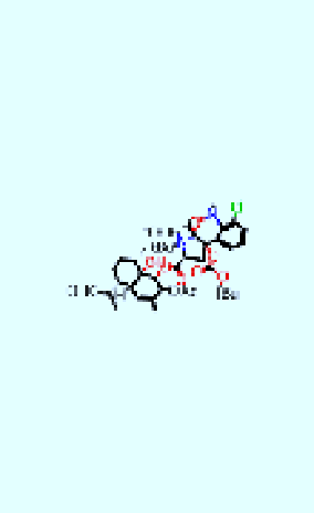 CC(=O)OC1C(C)=C[C@@H]2[C@H](C(C)C=O)CC[C@H](C)[C@]2(O)[C@H]1OC(=O)[C@@H]1C[C@@]2(OC(=O)OC(C)(C)C)c3cccc(Cl)c3N(C)O[C@H]2[N+]1(C(=O)[O-])C(C)(C)C